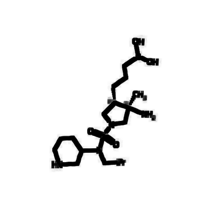 CC(C)CN(C1CCCNC1)S(=O)(=O)N1C[C@H](CCCB(O)O)[C@@](C)(N)C1